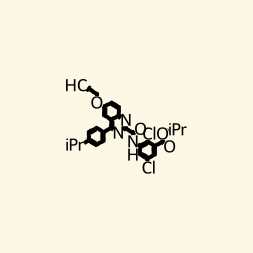 C#CCOc1ccc2nc(C(=O)Nc3cc(Cl)cc(C(=O)OC(C)C)c3Cl)nc(-c3ccc(C(C)C)cc3)c2c1